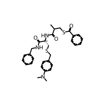 CC(CSC(=O)c1ccccc1)C(=O)N[C@H](CSCc1ccc(N(C)C)cc1)C(=O)NCc1ccccc1